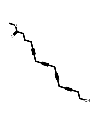 COC(=O)CCCC#CCC#CCC#CCC#CCCO